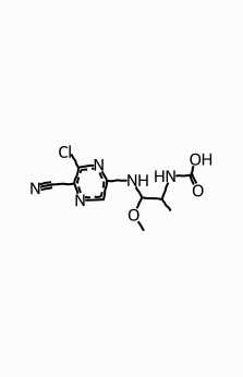 COC(Nc1cnc(C#N)c(Cl)n1)C(C)NC(=O)O